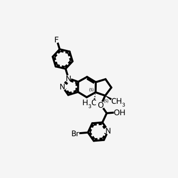 C[C@]12Cc3cnn(-c4ccc(F)cc4)c3C=C1CC[C@]2(C)OC(O)c1cc(Br)ccn1